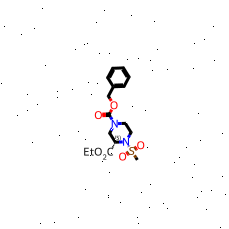 CCOC(=O)[C@@H]1CN(C(=O)OCc2ccccc2)CCN1S(C)(=O)=O